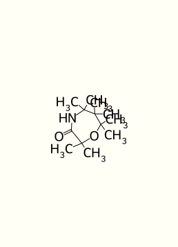 CC1(C)OC(C)(C)C(C)(C)C(C)(C)NC1=O